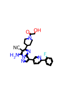 N#Cc1c(C2CCN(C(=O)CO)CC2)nc2c(-c3ccc(-c4ccccc4F)nc3)cnn2c1N